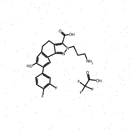 NCCCn1nc2c(c1C(=O)O)CCc1cc(O)c(-c3ccc(F)c(F)c3)cc1-2.O=C(O)C(F)(F)F